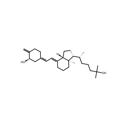 C=C1CC/C(=C\C=C2/CCC[C@]3(C)[C@@H]([C@H](C)CCCC(C)(C)O)CC[C@@H]23)C[C@H]1O